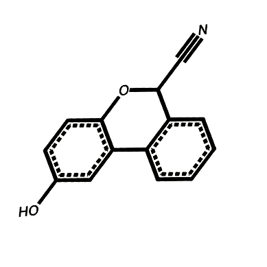 N#CC1Oc2ccc(O)cc2-c2ccccc21